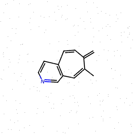 C=C1C=Cc2ccncc2C=C1C